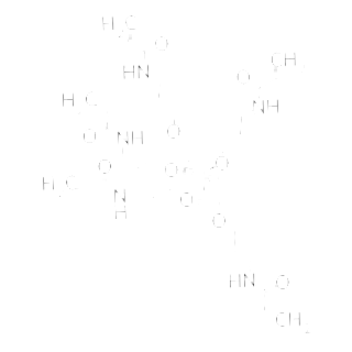 C=CC(=O)NCCCOC[C@H](OCCCNC(=O)C=C)[C@H](OCCCNC(=O)C=C)[C@@H](COCCCNC(=O)C=C)OCCCNC(=O)C=C